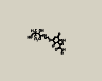 CCNC(=O)c1n[nH]c2c1C(=O)C(SCCNC(=O)[C@H](O)C(C)(C)CO)=CC2=O